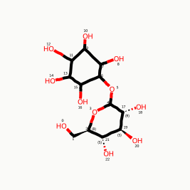 OC[C@H]1OC(OC2C(O)C(O)C(O)C(O)C2O)[C@H](O)[C@@H](O)[C@@H]1O